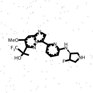 COc1cc2ncc(-c3cccc(N[C@H]4CNCC4F)n3)n2nc1C(C)(O)C(F)(F)F